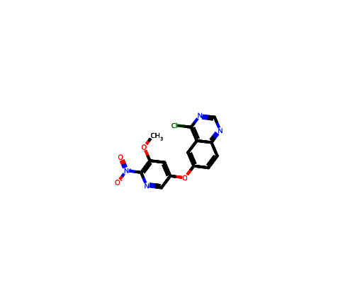 COc1cc(Oc2ccc3ncnc(Cl)c3c2)cnc1[N+](=O)[O-]